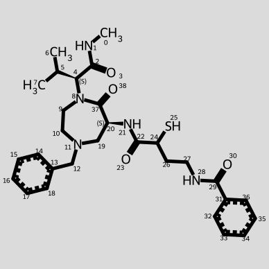 CNC(=O)[C@H](C(C)C)N1CCN(Cc2ccccc2)C[C@H](NC(=O)C(S)CCNC(=O)c2ccccc2)C1=O